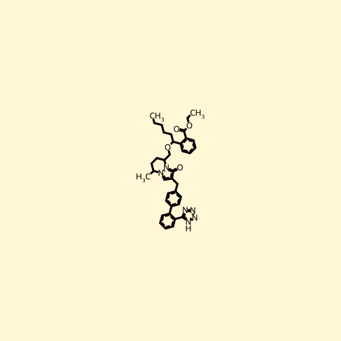 CCCCCC(OCC1CCC(C)n2cc(Cc3ccc(-c4ccccc4-c4nnn[nH]4)cc3)c(=O)n21)c1ccccc1C(=O)OCC